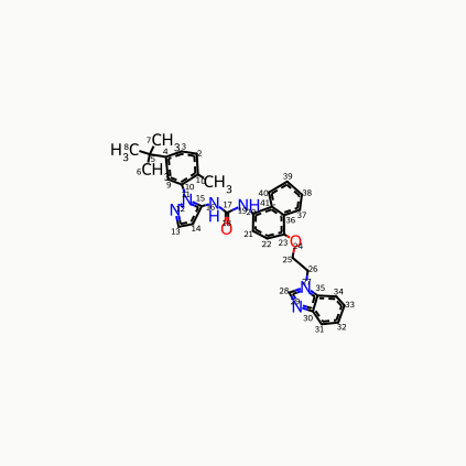 Cc1ccc(C(C)(C)C)cc1-n1nccc1NC(=O)Nc1ccc(OCCn2cnc3ccccc32)c2ccccc12